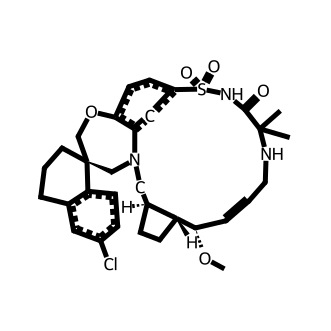 CO[C@H]1C=CCNC(C)(C)C(=O)NS(=O)(=O)c2ccc3c(c2)N(C[C@@H]2CC[C@H]21)C[C@@]1(CCCc2cc(Cl)ccc21)CO3